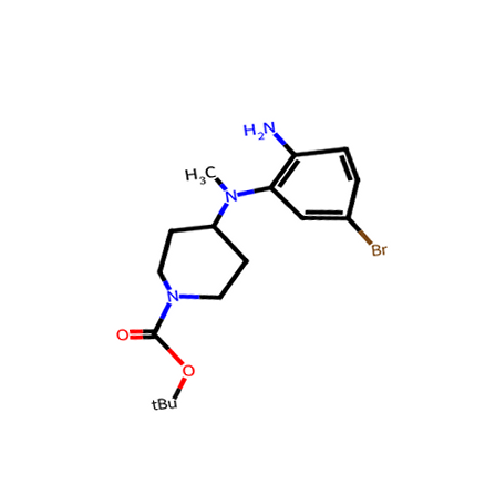 CN(c1cc(Br)ccc1N)C1CCN(C(=O)OC(C)(C)C)CC1